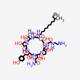 CCC(C)CC(C)CCCCCCCCC(=O)NC1C[C@@H](O)C(SCC(=O)NCCN)NC(=O)[C@@H]2[C@@H](O)CCN2C(=O)C([C@H](O)CC(N)=O)NC(=O)[C@H]([C@H](O)[C@@H](O)c2ccc(O)cc2)NC(=O)C2C[C@@H](O)CN2C(=O)C([C@@H](C)O)NC1=O